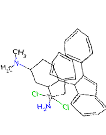 CN(C)C1CCC(C2C(c3ccccc3)=Cc3ccccc32)[CH]([Ti]([NH2])([Cl])([Cl])[CH2]c2ccccc2)C1